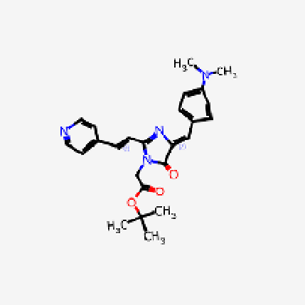 CN(C)c1ccc(/C=C2N=C(/C=C/c3ccncc3)N(CC(=O)OC(C)(C)C)C\2=O)cc1